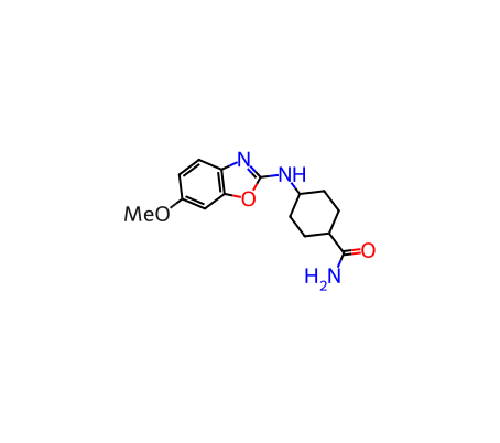 COc1ccc2nc(NC3CCC(C(N)=O)CC3)oc2c1